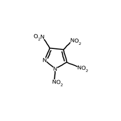 O=[N+]([O-])c1nn([N+](=O)[O-])c([N+](=O)[O-])c1[N+](=O)[O-]